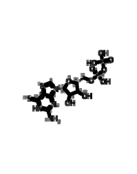 Nc1nc2c(ncn2[C@@H]2O[C@H](COP(=O)(O)OP(=O)(O)O)C(O)C2O)c(=S)[nH]1